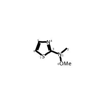 CON(C)c1nccs1